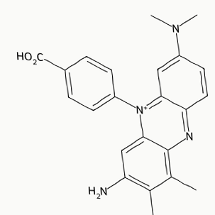 Cc1c(N)cc2c(nc3ccc(N(C)C)cc3[n+]2-c2ccc(C(=O)O)cc2)c1C